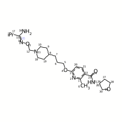 Cc1nc(OCCCC2CCN(CO/N=C(\N)C(C)C)CC2)ccc1C(=O)N[C@@H]1CCOC1